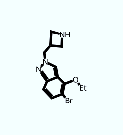 CCOc1c(Br)ccc2nn(CC3CNC3)cc12